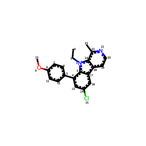 CCn1c2c(-c3ccc(OC)cc3)cc(Cl)cc2c2ccnc(C)c21